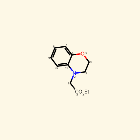 CCOC(=O)CN1CCOc2ccccc21